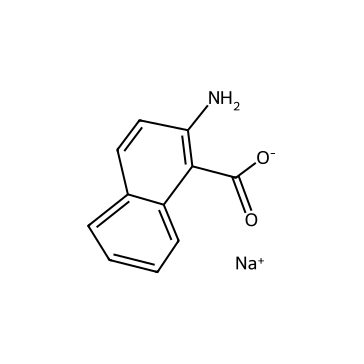 Nc1ccc2ccccc2c1C(=O)[O-].[Na+]